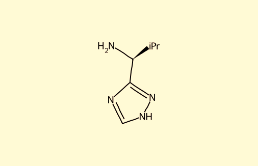 CC(C)[C@H](N)c1nc[nH]n1